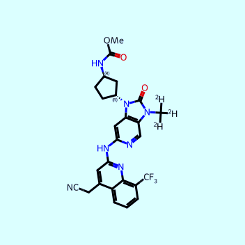 [2H]C([2H])([2H])n1c(=O)n([C@@H]2CC[C@@H](NC(=O)OC)C2)c2cc(Nc3cc(CC#N)c4cccc(C(F)(F)F)c4n3)ncc21